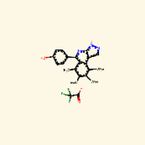 COc1c(OC)c(OC)c2c(c(-c3ccc(O)cc3)nc3[nH]ncc32)c1C.O=C(O)C(F)(F)F